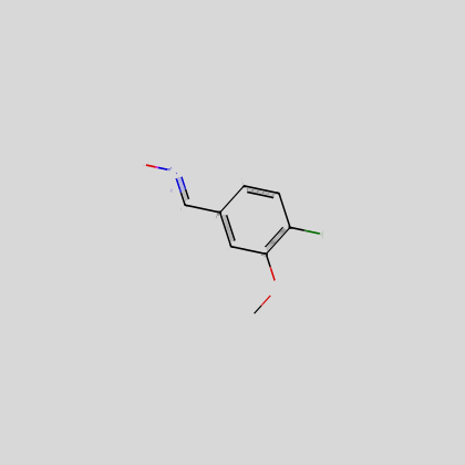 COc1cc(/C=N/O)ccc1F